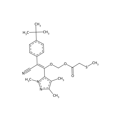 CSCC(=O)OCO/C(=C(/C#N)c1ccc(C(C)(C)C)cc1)c1c(C)c(C)nn1C